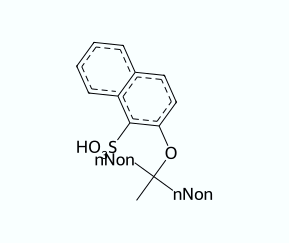 CCCCCCCCCC(C)(CCCCCCCCC)Oc1ccc2ccccc2c1S(=O)(=O)O